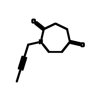 CC#CCN1CCC(=O)CCC1=O